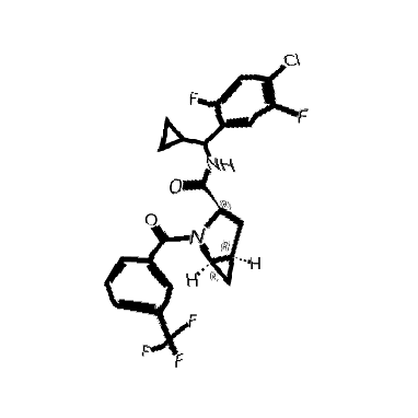 O=C(NC(c1cc(F)c(Cl)cc1F)C1CC1)[C@H]1C[C@H]2C[C@H]2N1C(=O)c1cccc(C(F)(F)F)c1